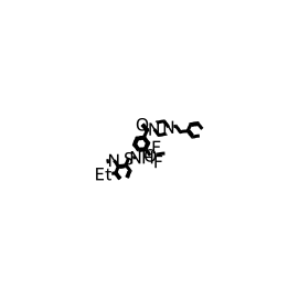 C=C/C(SNc1ccc(C(=O)N2CCN(CCC(/C=C\C)=C/C)CC2)cc1OC(C)(F)F)=C(/N=C)C(=C)CC